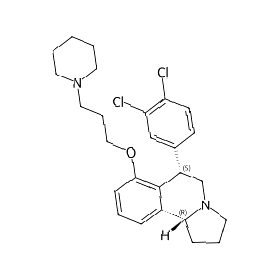 Clc1ccc([C@@H]2CN3CCC[C@@H]3c3cccc(OCCCN4CCCCC4)c32)cc1Cl